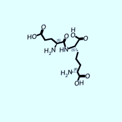 N[C@H](CCC[C@H](NC(=O)[C@@H](N)CCC(=O)O)C(=O)O)C(=O)O